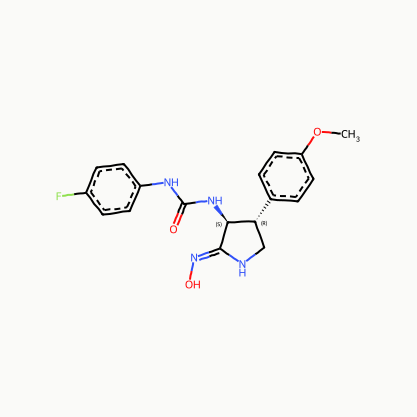 COc1ccc([C@@H]2CNC(=NO)[C@H]2NC(=O)Nc2ccc(F)cc2)cc1